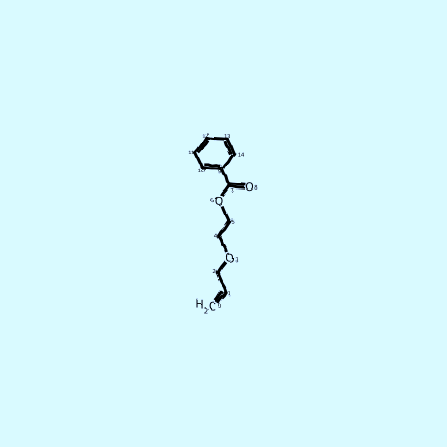 C=CCOCCOC(=O)c1ccccc1